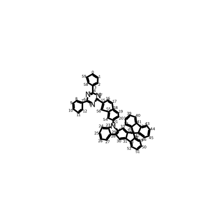 c1ccc(-c2nc(-c3ccccc3)nc(-c3ccc4ccc(-n5c6ccccc6c6cc7c(cc65)C5(c6ccccc6-c6ccccc65)c5ccccc5-7)cc4c3)n2)cc1